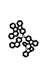 c1ccc2c(c1)-c1ccc(N(c3ccc4c(c3)C3(c5ccccc5-4)c4ccccc4-n4c5ccccc5c5cccc3c54)c3ccc4c(ccc5ccccc54)c3)cc1C21c2ccccc2-c2c1ccc1ccccc21